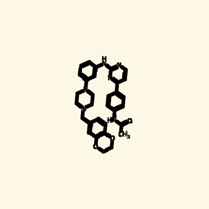 CC(=O)Nc1ccc(-c2ccnc(Nc3cccc(N4CCN(Cc5ccc6c(c5)OCCO6)CC4)c3)n2)cc1